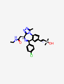 CCNC(=O)C[C@@H]1N=C(c2ccc(Cl)cc2)c2cc(/C=C/[Si](C)(C)O)ccc2-n2c(C)nnc21